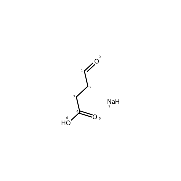 O=CCCC(=O)O.[NaH]